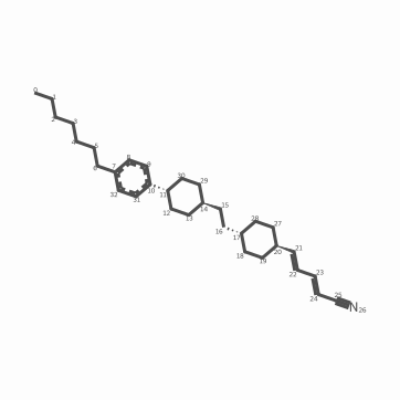 CCCCCCCc1ccc([C@H]2CC[C@H](CC[C@H]3CC[C@H](C=CC=CC#N)CC3)CC2)cc1